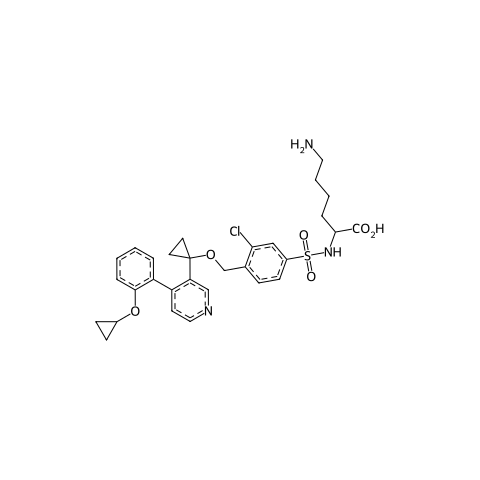 NCCCCC(NS(=O)(=O)c1ccc(COC2(c3cnccc3-c3ccccc3OC3CC3)CC2)c(Cl)c1)C(=O)O